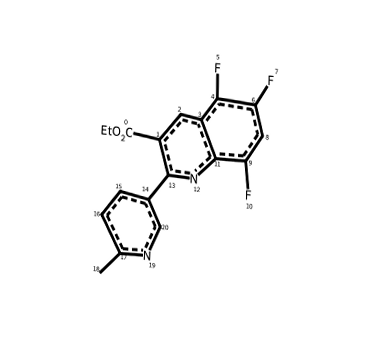 CCOC(=O)c1cc2c(F)c(F)cc(F)c2nc1-c1ccc(C)nc1